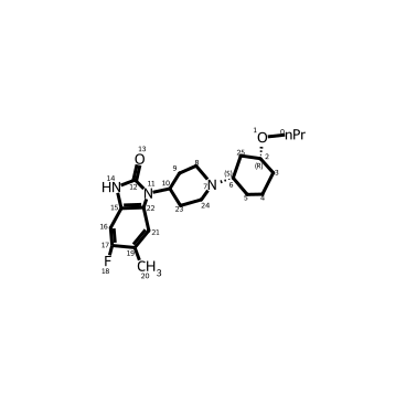 CCCO[C@@H]1CCC[C@H](N2CCC(n3c(=O)[nH]c4cc(F)c(C)cc43)CC2)C1